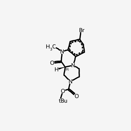 CN1C(=O)[C@H]2CN(C(=O)OC(C)(C)C)CCN2c2ccc(Br)cc21